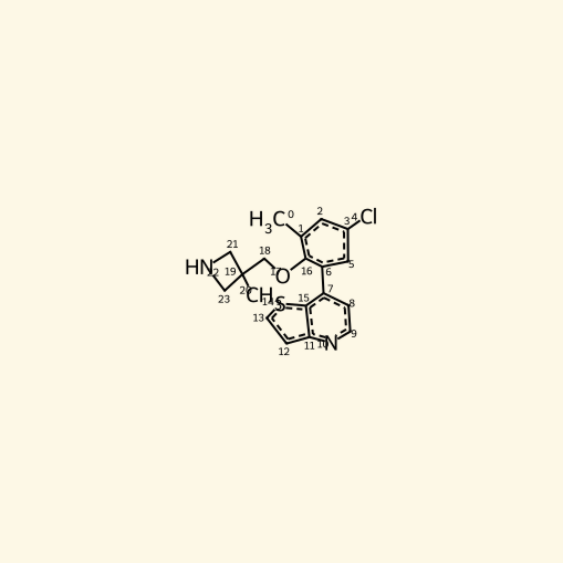 Cc1cc(Cl)cc(-c2ccnc3ccsc23)c1OCC1(C)CNC1